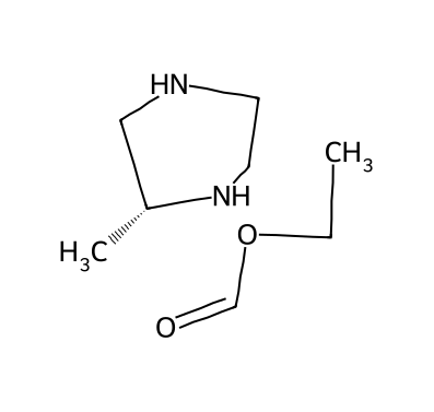 CCOC=O.C[C@@H]1CNCCN1